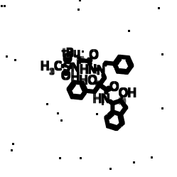 CC(C)(C)[C@H](NS(C)(=O)=O)C(=O)NN(Cc1ccccc1)C[C@@](O)(Cc1ccccc1)C(=O)NC1c2ccccc2C[C@H]1O